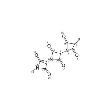 CC1C(=O)N(C2C(=O)N(C3C(=O)N(C)C3=O)C2=O)C1=O